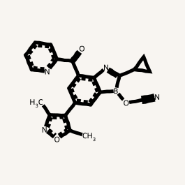 Cc1noc(C)c1-c1cc2c(c(C(=O)c3ccccn3)c1)N=C(C1CC1)B2OC#N